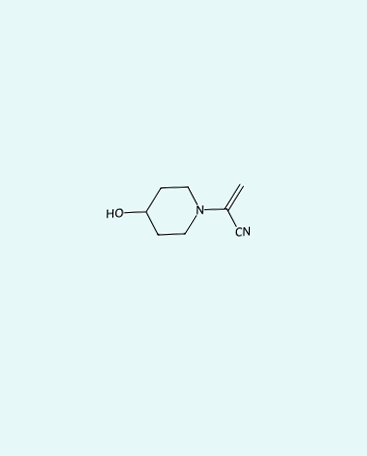 C=C(C#N)N1CCC(O)CC1